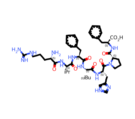 CC[C@H](C)[C@H](NC(=O)[C@H](Cc1ccccc1)NC(=O)[C@@H](NC(=O)[C@@H](N)CCCNC(=N)N)C(C)C)C(=O)N[C@@H](Cc1c[nH]cn1)C(=O)N1CCC[C@H]1C(=O)N[C@@H](Cc1ccccc1)C(=O)O